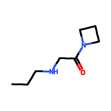 CCCNCC(=O)N1CCC1